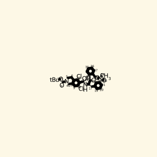 CC(C)(C)OC(=O)N1CCc2c(cc(Cl)c(C(O)N[C@@H](Cc3cccc(S(C)(=O)=O)c3)C(=O)OCc3ccccc3)c2Cl)C1